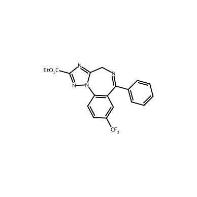 CCOC(=O)c1nc2n(n1)-c1ccc(C(F)(F)F)cc1C(c1ccccc1)=NC2